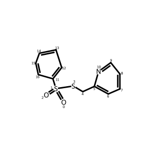 O=S(=O)(SCc1ccccn1)c1ccccc1